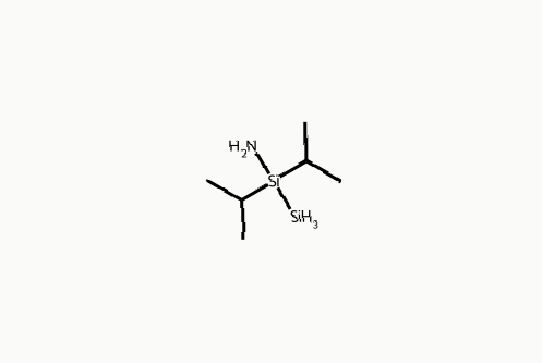 CC(C)[Si](N)([SiH3])C(C)C